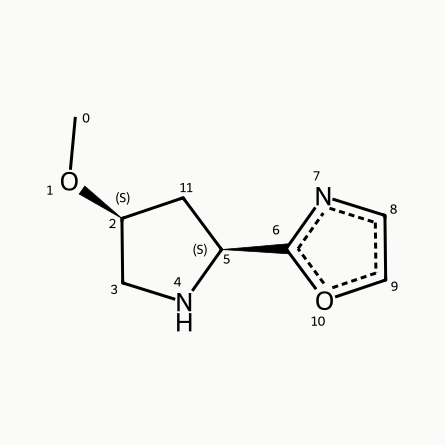 CO[C@@H]1CN[C@H](c2ncco2)C1